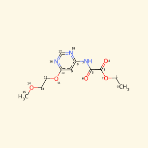 CCOC(=O)C(=O)Nc1cc(OCCOC)ncn1